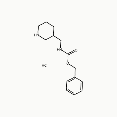 Cl.O=C(NCC1CCCNC1)OCc1ccccc1